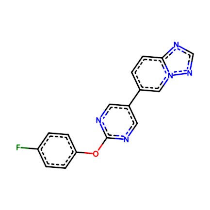 Fc1ccc(Oc2ncc(-c3ccc4ncnn4c3)cn2)cc1